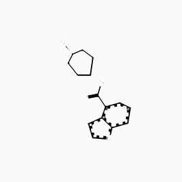 N[C@H]1CC[C@H](NC(=O)c2cccc3[nH]ccc23)CC1